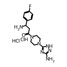 Cl.Cl.Nc1n[nH]c(N2CCN(C(=O)CC(N)c3ccc(F)cc3)CC2)n1